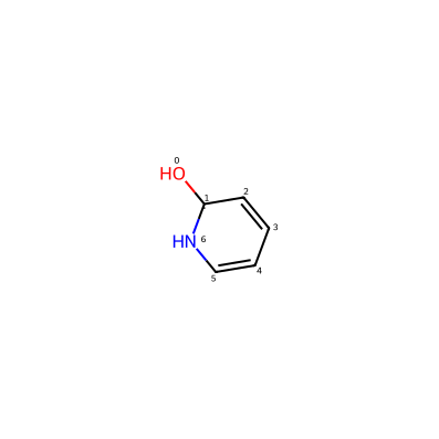 O[C]1C=CC=CN1